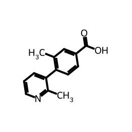 Cc1cc(C(=O)O)ccc1-c1cccnc1C